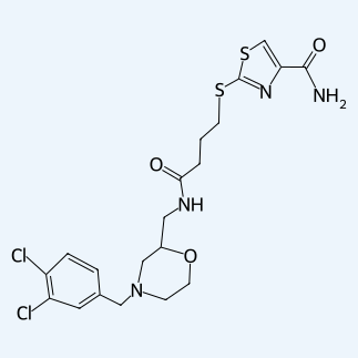 NC(=O)c1csc(SCCCC(=O)NCC2CN(Cc3ccc(Cl)c(Cl)c3)CCO2)n1